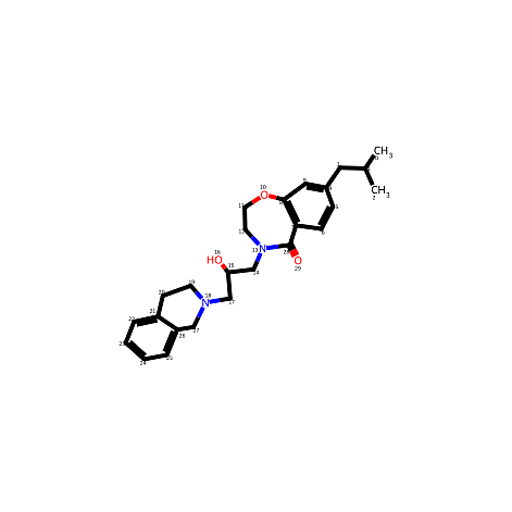 CC(C)Cc1ccc2c(c1)OCCN(CC(O)CN1CCc3ccccc3C1)C2=O